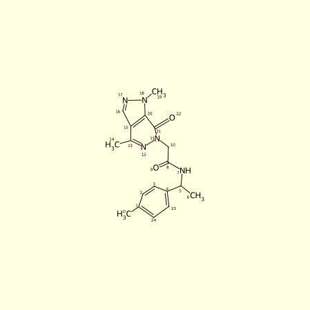 Cc1ccc(C(C)NC(=O)Cn2nc(C)c3cnn(C)c3c2=O)cc1